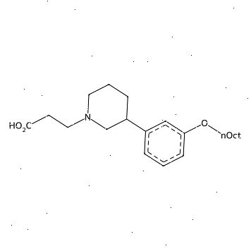 CCCCCCCCOc1cccc(C2CCCN(CCC(=O)O)C2)c1